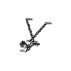 C=C(/C=C(/C=C/C=C1\N(CCCS(=O)(=O)O)c2ccc(S(=O)(=O)O)cc2C1(C)CCCC(=O)ON1C(=O)CCC1=O)c1ccc(N(CCOCCOCCOCCOCCOCCOC)CCOCCOCCOCCOCCOCCOC)cc1O)C(C)(C)C